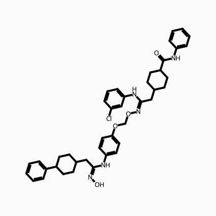 O=C(Nc1ccccc1)C1CCC(C/C(=N/OCOc2ccc(N/C(CC3CCC(c4ccccc4)CC3)=N\O)cc2)Nc2cccc(Cl)c2)CC1